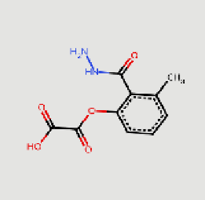 Cc1cccc(OC(=O)C(=O)O)c1C(=O)NN